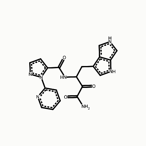 NC(=O)C(=O)C(Cc1c[nH]c2c[nH]cc12)NC(=O)c1ccnn1-c1ccccn1